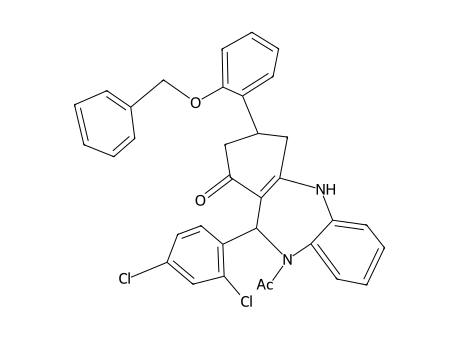 CC(=O)N1c2ccccc2NC2=C(C(=O)CC(c3ccccc3OCc3ccccc3)C2)C1c1ccc(Cl)cc1Cl